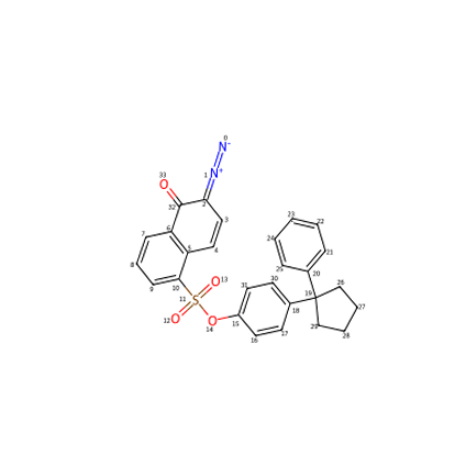 [N-]=[N+]=C1C=Cc2c(cccc2S(=O)(=O)Oc2ccc(C3(c4cc[c]cc4)CCCC3)cc2)C1=O